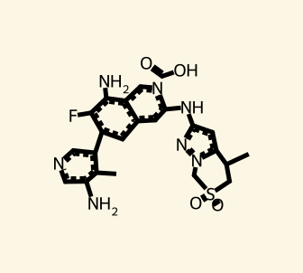 Cc1c(N)cncc1-c1cc2cc(Nc3cc4n(n3)CS(=O)(=O)CC4C)ncc2c(N)c1F.O=CO